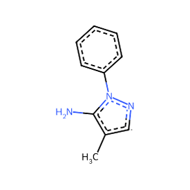 Cc1[c]nn(-c2ccccc2)c1N